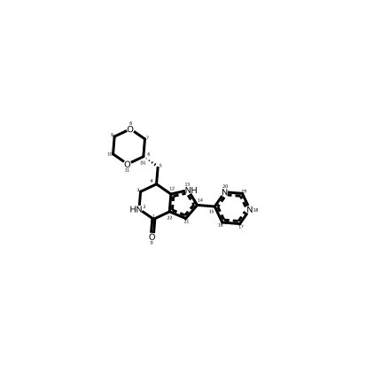 O=C1NCC(C[C@H]2COCCO2)c2[nH]c(-c3ccncn3)cc21